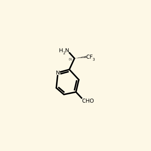 N[C@@H](c1cc(C=O)ccn1)C(F)(F)F